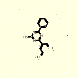 C=C/C=C(\C=C)c1nc(S)nc(-c2ccccc2)n1